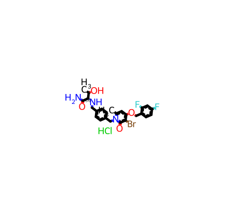 Cc1cc(OCc2ccc(F)cc2F)c(Br)c(=O)n1Cc1ccc(CN[C@H](C(N)=O)C(C)O)cc1.Cl